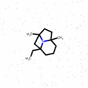 CCC12CCCC3(C)CCC(C)(C1)N32